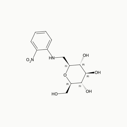 O=[N+]([O-])c1ccccc1NC[C@@H]1O[C@H](CO)[C@@H](O)[C@H](O)[C@H]1O